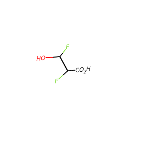 O=C(O)C(F)C(O)F